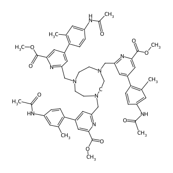 COC(=O)c1cc(-c2ccc(NC(C)=O)cc2C)cc(CN2CCN(Cc3cc(-c4ccc(NC(C)=O)cc4C)cc(C(=O)OC)n3)CCN(Cc3cc(-c4ccc(NC(C)=O)cc4C)cc(C(=O)OC)n3)CC2)n1